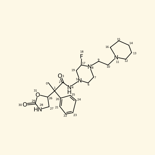 CC(C(=O)NN1CCN(CCN2CCCCC2)C(F)C1)(c1ccccc1)C1CNC(=O)O1